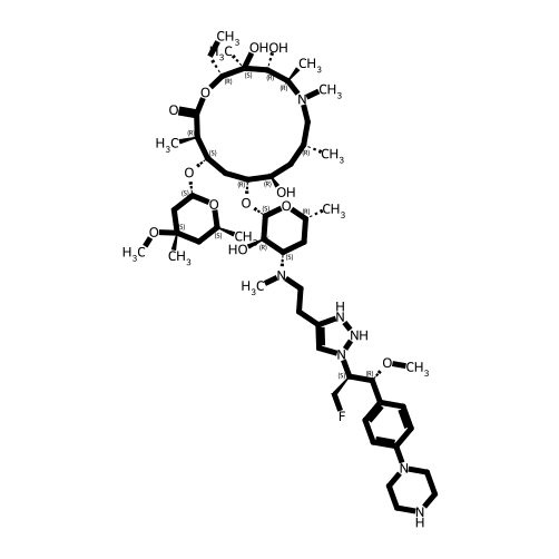 CC[C@H]1OC(=O)[C@H](C)[C@@H](O[C@H]2C[C@@](C)(OC)C[C@H](C)O2)C[C@@H](O[C@@H]2O[C@H](C)C[C@H](N(C)CCC3=CN([C@H](CF)[C@H](OC)c4ccc(N5CCNCC5)cc4)NN3)[C@H]2O)[C@H](O)C[C@@H](C)CN(C)[C@H](C)[C@@H](O)[C@]1(C)O